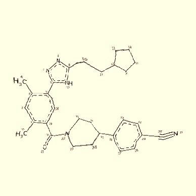 Cc1cc(C)c(-c2nnc(CCC3CCCC3)[nH]2)cc1C(=O)N1CCC(c2ccc(C#N)cc2)CC1